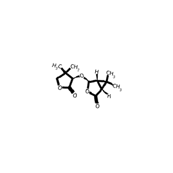 CC1(C)COC(=O)[C@@H]1O[C@@H]1OC(=O)[C@@H]2[C@H]1C2(C)C